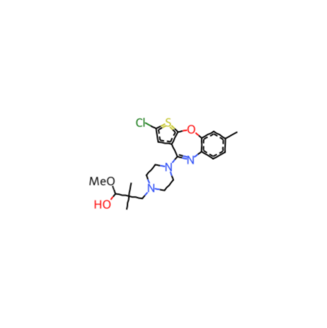 COC(O)C(C)(C)CN1CCN(C2=Nc3ccc(C)cc3Oc3sc(Cl)cc32)CC1